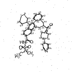 CN(C)S(=O)(=O)NC(=O)c1ccc2c(C3CCCCC3)c3n(c2c1)CC(C(=O)N1CCN(c2ccncc2)CC1)Cc1ccccc1-3